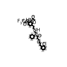 O=C1COc2c(CCNCCN(C(=O)CCOCCc3ccccc3Cl)C3CCCCC3)ccc(OC(=O)C(F)(F)F)c2N1